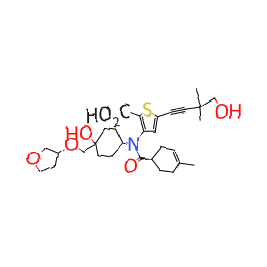 CC1=CC[C@H](C(=O)N(c2cc(C#CC(C)(C)CO)sc2C(=O)O)C2CCC(O)(COC3CCOC3)CC2)CC1